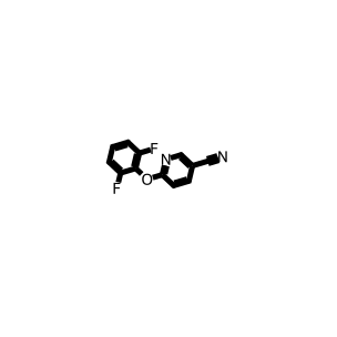 N#Cc1ccc(Oc2c(F)cccc2F)nc1